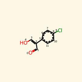 O=CC(=CO)c1ccc(Cl)cc1